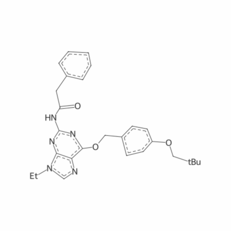 CCn1cnc2c(OCc3ccc(OCC(C)(C)C)cc3)nc(NC(=O)Cc3ccccc3)nc21